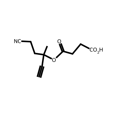 C#CC(C)(CCC#N)OC(=O)CCC(=O)O